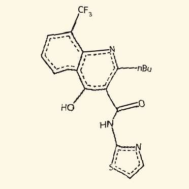 CCCCc1nc2c(C(F)(F)F)cccc2c(O)c1C(=O)Nc1nccs1